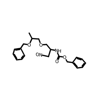 CC(COCC(CN=O)NC(=O)OCc1ccccc1)OCc1ccccc1